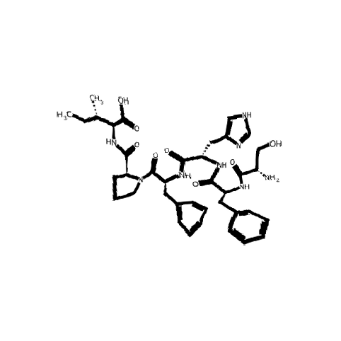 CC[C@H](C)[C@H](NC(=O)[C@@H]1CCCN1C(=O)[C@H](Cc1ccccc1)NC(=O)[C@H](Cc1c[nH]cn1)NC(=O)[C@H](Cc1ccccc1)NC(=O)[C@@H](N)CO)C(=O)O